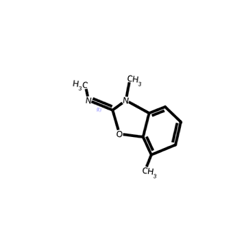 C/N=c1/oc2c(C)cccc2n1C